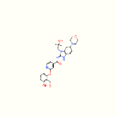 CC(C)(O)Cn1/c(=N/C(=O)c2ccnc(Oc3cccc(O)c3C=O)c2)[nH]c2ccc(N3CCOCC3)cc21